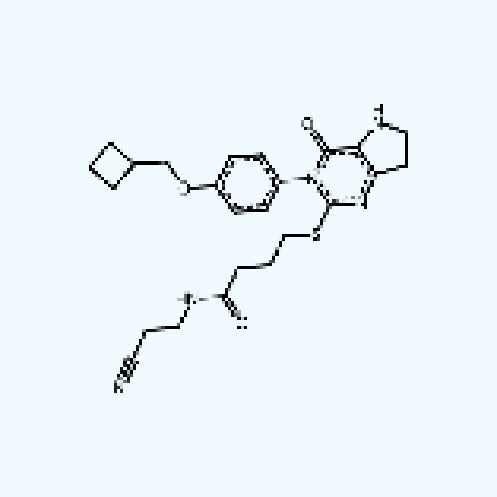 N#CCCNC(=O)CCCSc1nc2c(c(=O)n1-c1ccc(OCC3CCC3)cc1)NCC2